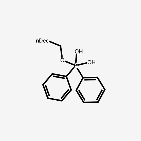 CCCCCCCCCCCOP(O)(O)(c1ccccc1)c1ccccc1